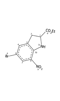 CCOC(=O)C1Cc2cc(Br)cc([N+](=O)[O-])c2N1